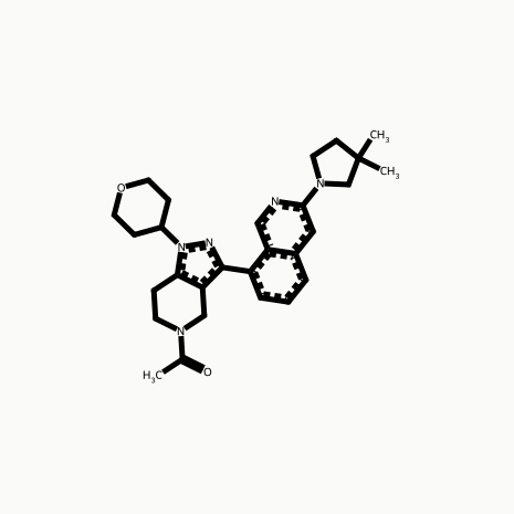 CC(=O)N1CCc2c(c(-c3cccc4cc(N5CCC(C)(C)C5)ncc34)nn2C2CCOCC2)C1